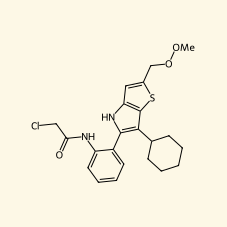 COOCc1cc2[nH]c(-c3ccccc3NC(=O)CCl)c(C3CCCCC3)c2s1